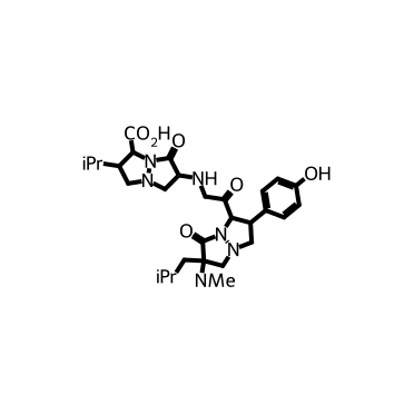 CNC1(CC(C)C)CN2CC(c3ccc(O)cc3)C(C(=O)CNC3CN4CC(C(C)C)C(C(=O)O)N4C3=O)N2C1=O